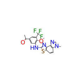 COc1c(Nc2nc3c(ccc4c3ncn4C)s2)cc(C(C)=O)cc1C(F)(F)F